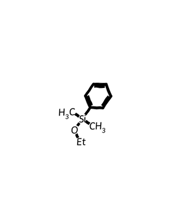 [CH2]CO[Si](C)(C)c1ccccc1